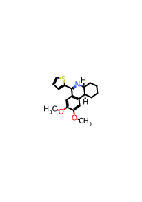 COc1cc2c(cc1OC)[C@H]1CCCC[C@H]1N=C2c1cccs1